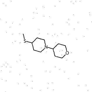 CSC1CCN(C2CCOCC2)CC1